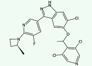 CC(Oc1cc2c(-c3cnc(N4CC[C@@H]4C)c(F)c3)n[nH]c2cc1Cl)c1c(Cl)cncc1Cl